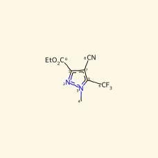 CCOC(=O)c1nn(C)c(C(F)(F)F)c1C#N